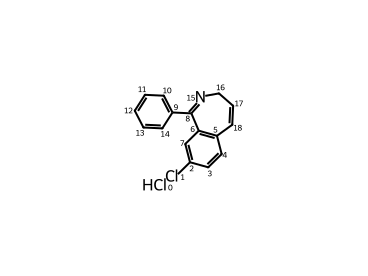 Cl.Clc1ccc2c(c1)C(c1ccccc1)=NCC=C2